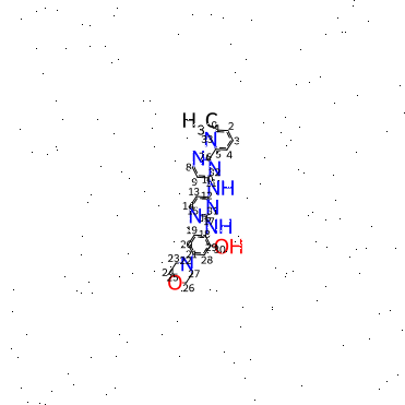 Cc1cccc(-c2nccc(Nc3ccnc(Nc4ccc(N5CCOCC5)cc4O)n3)n2)n1